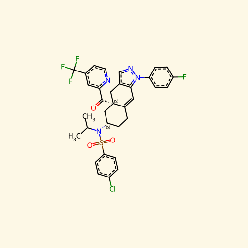 CC(C)N([C@H]1CCC2=Cc3c(cnn3-c3ccc(F)cc3)C[C@]2(C(=O)c2cc(C(F)(F)F)ccn2)C1)S(=O)(=O)c1ccc(Cl)cc1